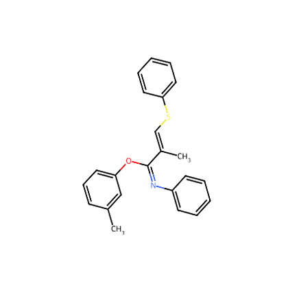 CC(=C\Sc1ccccc1)/C(=N\c1ccccc1)Oc1cccc(C)c1